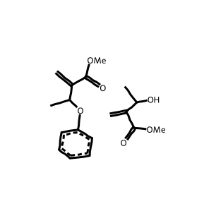 C=C(C(=O)OC)C(C)O.C=C(C(=O)OC)C(C)Oc1ccccc1